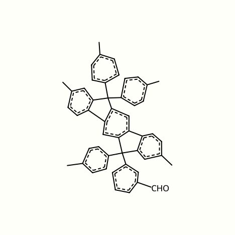 Cc1ccc(C2(c3ccc(C)cc3)c3cc(C)ccc3-c3cc4c(cc32)-c2ccc(C)cc2C4(c2ccc(C)cc2)c2cccc(C=O)c2)cc1